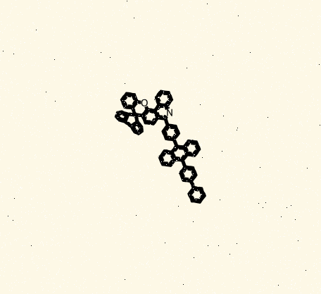 c1ccc(-c2ccc(-c3c4ccccc4c(-c4ccc(-c5nc6ccccc6c6c7c(ccc56)C5(c6ccccc6O7)c6ccccc6-c6ccccc65)cc4)c4ccccc34)cc2)cc1